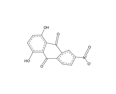 O=C1c2ccc([N+](=O)[O-])cc2C(=O)c2c(O)ccc(O)c21